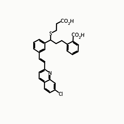 O=C(O)CCSC(CCc1ccccc1C(=O)O)c1cccc(/C=C/c2ccc3ccc(Cl)cc3n2)c1